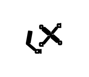 C=CC#N.O=S(=O)(Cl)Cl